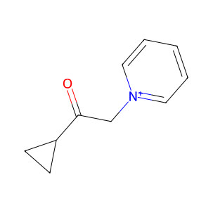 O=C(C[n+]1ccccc1)C1CC1